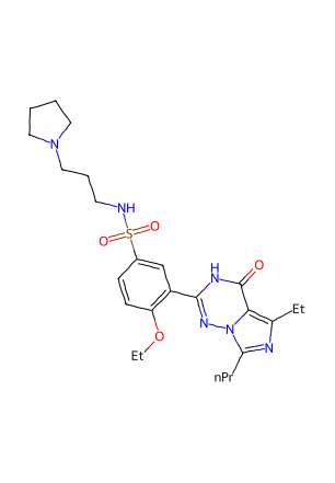 CCCc1nc(CC)c2c(=O)[nH]c(-c3cc(S(=O)(=O)NCCCN4CCCC4)ccc3OCC)nn12